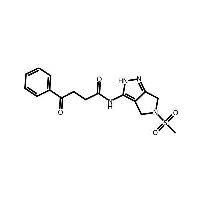 CS(=O)(=O)N1Cc2n[nH]c(NC(=O)CCC(=O)c3ccccc3)c2C1